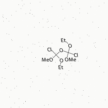 CCOC(Cl)(OC)OC(Cl)(OC)OCC